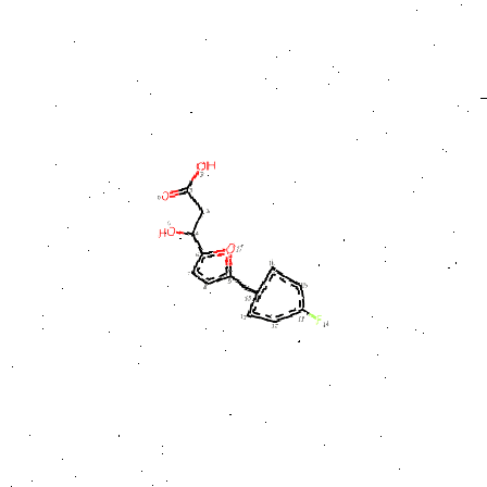 O=C(O)CC(O)c1ccc(-c2ccc(F)cc2)o1